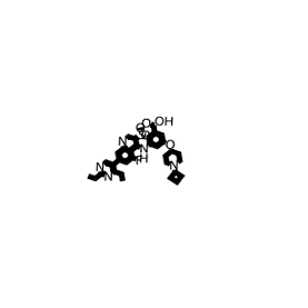 CCc1ncc(-c2cc(F)c3c(c2)=NCC(=S(=O)=O)C=3Nc2cc(OC3CCN(C4CCC4)CC3)cc(C(=O)O)c2)c(CC)n1